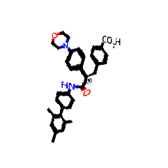 Cc1cc(C)c(-c2ccc(NC(=O)[C@H](Cc3ccc(C(=O)O)cc3)c3ccc(N4CCOCC4)cc3)cc2)c(C)c1